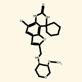 CO[C@H]1COCC[C@H]1NCc1cc2cc(Cl)c3c(c2o1)C1(CCCCC1)NC(=O)N3